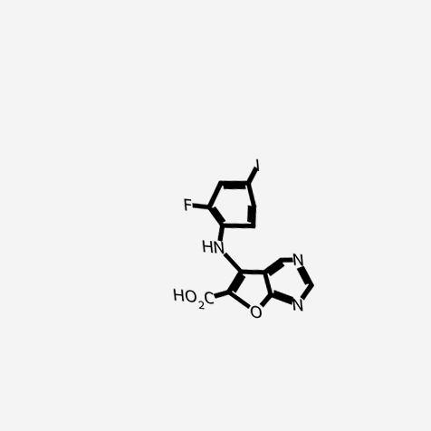 O=C(O)c1oc2ncncc2c1Nc1ccc(I)cc1F